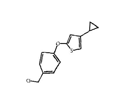 ClCc1ccc(Oc2cc(C3CC3)cs2)cc1